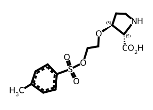 Cc1ccc(S(=O)(=O)OCCO[C@H]2CCN[C@@H]2C(=O)O)cc1